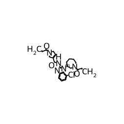 C=CC(=O)N1CC=C(C(=O)Nc2nc3cccc(Cl)c3n2[C@@H]2CCCCN(C(=O)C=C)C2)C1